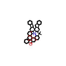 CC(C)(C)c1cccc(-c2ccccc2)c1N(C1=CC=C2C(=Cc3ccccc32)C12C=CC=C1C2=Cc2ccccc21)c1ccccc1-c1cccc2oc3ccccc3c12